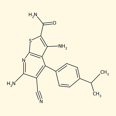 CC(C)c1ccc(-c2c(C#N)c(N)nc3sc(C(N)=O)c(N)c23)cc1